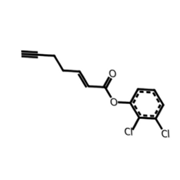 C#CCC/C=C/C(=O)Oc1cccc(Cl)c1Cl